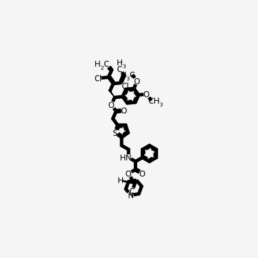 C=C/C(Cl)=C(C[C@H](OC(=O)Cc1ccc(CCNC(C(=O)O[C@H]2CN3CCC2CC3)c2ccccc2)s1)c1ccc(OC)c(OC)c1)\C(Cl)=C/C